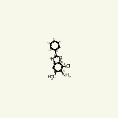 Cc1cc2nc(-c3ccccc3)oc2c(Cl)c1N